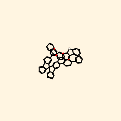 c1ccc(-c2ccc(-c3cc4c(cc3N(c3ccccc3)c3ccc5c(c3)oc3ccccc35)C3(c5ccccc5-c5ccc(N(c6ccccc6)c6ccccc6)cc53)c3ccccc3-4)cc2)cc1